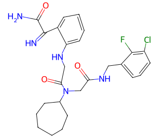 N=C(C(N)=O)c1ccccc1NCC(=O)N(CC(=O)NCc1cccc(Cl)c1F)C1CCCCCC1